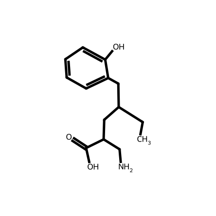 CCC(Cc1ccccc1O)CC(CN)C(=O)O